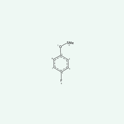 CSOc1ccc(F)cc1